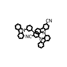 N#Cc1ccc2c(c1)c1ccccc1n2-c1cccc2c3ccccc3n(-c3ccc(-c4cccc(-n5c6ccccc6c6ccccc65)c4)c(C#N)c3)c12